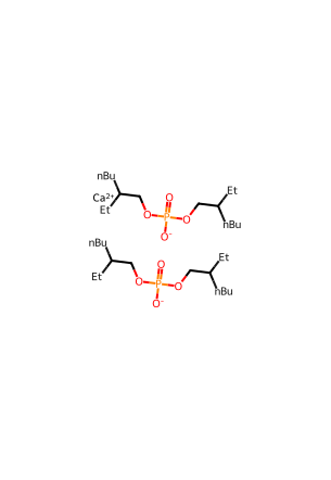 CCCCC(CC)COP(=O)([O-])OCC(CC)CCCC.CCCCC(CC)COP(=O)([O-])OCC(CC)CCCC.[Ca+2]